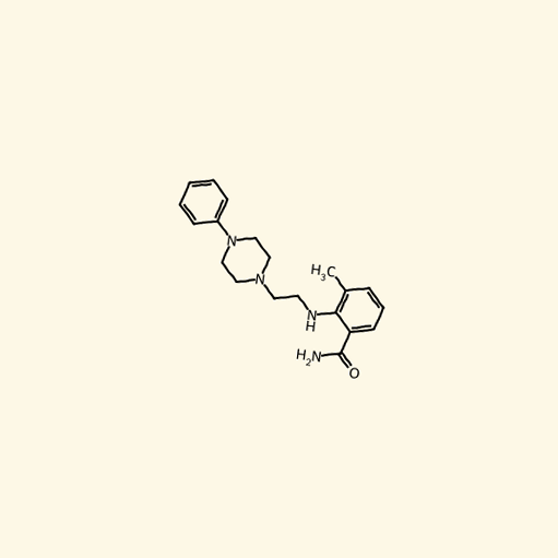 Cc1cccc(C(N)=O)c1NCCN1CCN(c2ccccc2)CC1